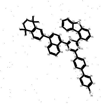 CC1(C)CCC(C)(C)c2cc(-c3ccc(-c4nc(-c5ccc(-c6ccc(F)cc6)cc5)nc(-c5cccc6oc7ccccc7c56)n4)c4ccccc34)ccc21